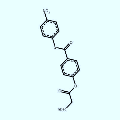 CCCCCCCCCCCC(=O)Oc1ccc(C(=O)Sc2ccc([N+](=O)[O-])cc2)cc1